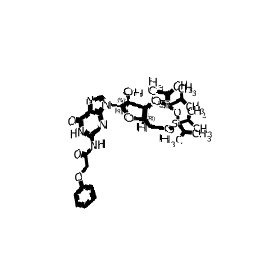 CC(C)[Si]1(C(C)C)OC[C@H]2O[C@@H](n3cnc4c(=O)[nH]c(NC(=O)COc5ccccc5)nc43)[C@@H](O)C2O[Si](C(C)C)(C(C)C)O1